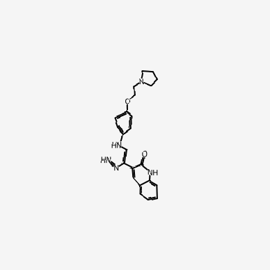 N=N/C(=C\Nc1ccc(OCCN2CCCC2)cc1)c1cc2ccccc2[nH]c1=O